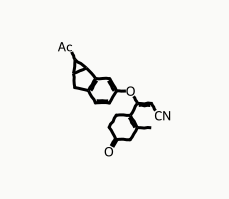 CC(=O)C1C2Cc3ccc(O/C(=C/C#N)C4=C(C)CC(=O)CC4)cc3C21